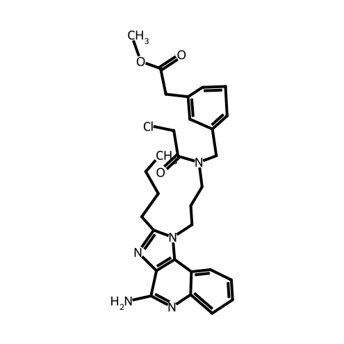 CCCCc1nc2c(N)nc3ccccc3c2n1CCCN(Cc1cccc(CC(=O)OC)c1)C(=O)CCl